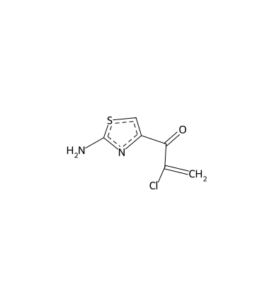 C=C(Cl)C(=O)c1csc(N)n1